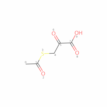 CC(=O)SCC(=O)C(=O)O